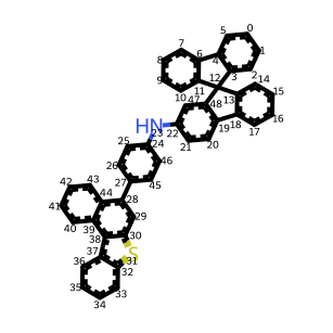 c1ccc2c(c1)-c1ccccc1C21c2ccccc2-c2ccc(Nc3ccc(-c4cc5sc6ccccc6c5c5ccccc45)cc3)cc21